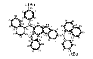 CC(C)(C)c1ccc(N(c2ccc3c(c2)oc2cc(N(c4ccc(C(C)(C)C)cc4)c4cccc5ccccc45)c4oc5ccccc5c4c23)c2cccc3ccccc23)cc1